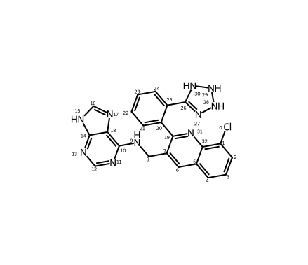 Clc1cccc2cc(CNc3ncnc4[nH]cnc34)c(-c3ccccc3C3=NNNN3)nc12